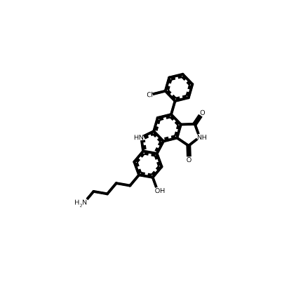 NCCCCc1cc2[nH]c3cc(-c4ccccc4Cl)c4c(c3c2cc1O)C(=O)NC4=O